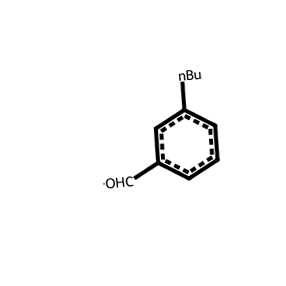 CCCCc1cccc([C]=O)c1